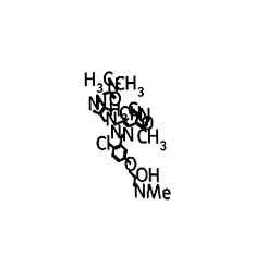 CNC[C@@H](O)COc1ccc(Cl)c(-c2nc(-c3c(C)noc3C)c(C)c(N3Cc4cnn(CC(=O)N(C)C)c4C3)n2)c1